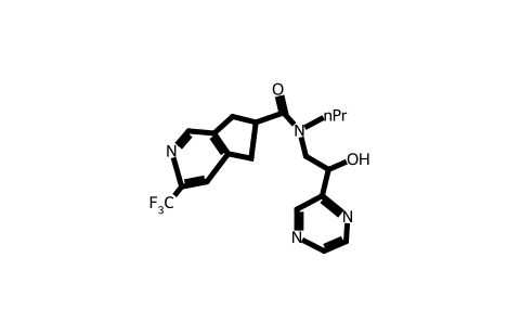 CCCN(CC(O)c1cnccn1)C(=O)C1Cc2cnc(C(F)(F)F)cc2C1